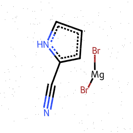 N#Cc1c[c]c[nH]1.[Br][Mg][Br]